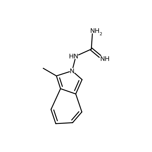 Cc1c2ccccc2cn1NC(=N)N